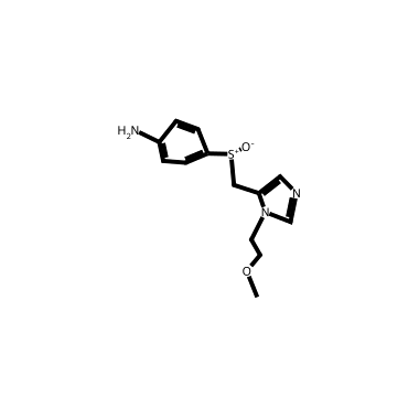 COCCn1cncc1C[S+]([O-])c1ccc(N)cc1